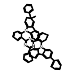 CC1(c2ccccc2)C=c2c(n(-c3ccccc3-c3nc(C4=CC=CCC4)nc(C4=C(n5c6ccccc6c6cc(-c7ccccc7)ccc65)CCC=C4)n3)c3ccccc23)=CC1